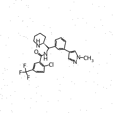 Cn1cc(-c2cccc(C(NC(=O)c3cc(C(F)(F)F)ccc3Cl)[C@@H]3CCCCN3)c2)cn1